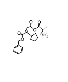 C[C@H](N)C(=O)OC(=O)CN(C(=O)OCc1ccccc1)C1CCCC1